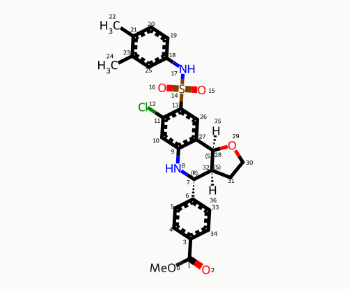 COC(=O)c1ccc([C@@H]2Nc3cc(Cl)c(S(=O)(=O)Nc4ccc(C)c(C)c4)cc3[C@H]3OCC[C@H]32)cc1